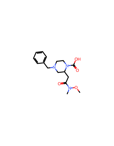 CON(C)C(=O)CC1CN(Cc2ccccc2)CCN1C(=O)O